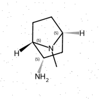 CN1[C@H]2CC[C@H]1[C@@H](N)C2